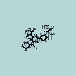 CNC(Oc1cccc(-c2nc(-c3c(C)noc3C)c(F)c(N(C)C3CCOCC3)n2)c1)C(C)O